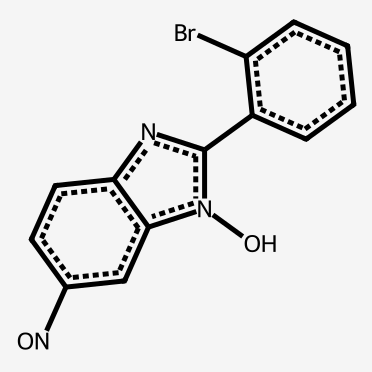 O=Nc1ccc2nc(-c3ccccc3Br)n(O)c2c1